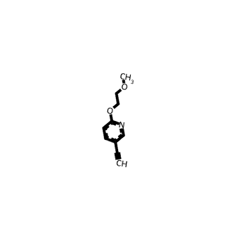 C#Cc1ccc(OCCOC)nc1